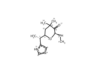 CP[C@H]1OC([C@@H](C)c2cnc[nH]2)CC(C)(C)C1=O